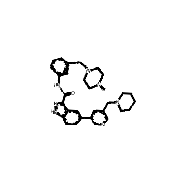 CN1CCN(Cc2cccc(NC(=O)c3n[nH]c4ccc(-c5cncc(CN6CCCCC6)c5)cc34)c2)CC1